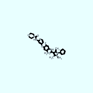 C=C1C(C(=O)Nc2cc(F)c(Oc3ccnc(NC(=O)N4CCOCC4)c3)cc2P)=C(C)N(C)N1c1ccccc1